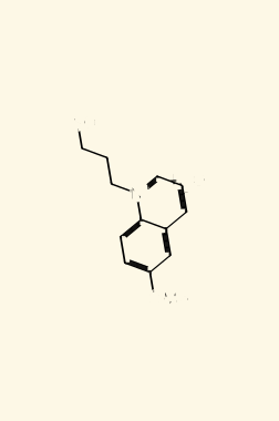 COc1ccc2c(ccc[n+]2CCCS(=O)(=O)O)c1.O